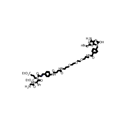 CCCCOc1nc(N)c2nc(O)n(Cc3ccc(C(=O)NCCCOCCOCCOCCCNC(=O)CCC(=O)Nc4ccc(/C=C/C(=O)N(C(=O)[C@H](NC(=O)CN)C(C)C)[C@H](CCC(=O)OCC)C(=O)OCC)cc4)cc3)c2n1